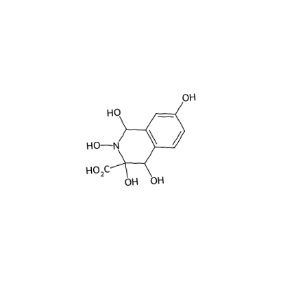 O=C(O)C1(O)C(O)c2ccc(O)cc2C(O)N1O